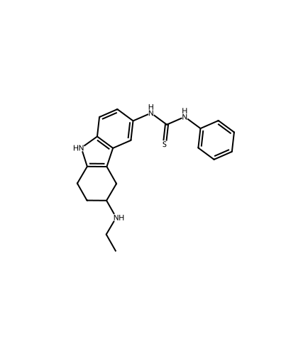 CCNC1CCc2[nH]c3ccc(NC(=S)Nc4ccccc4)cc3c2C1